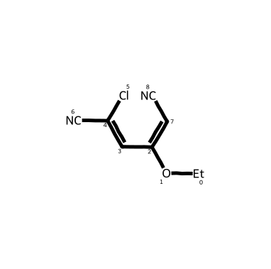 CCOC(C=C(Cl)C#N)=CC#N